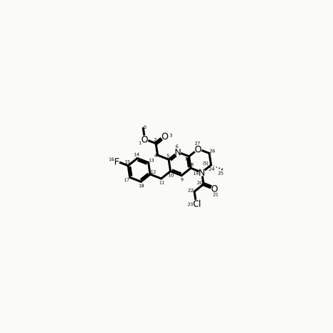 COC(=O)Cc1nc2c(cc1Cc1ccc(F)cc1)N(C(=O)CCl)[C@@H](C)CO2